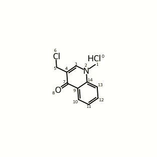 Cl.Cn1cc(CCl)c(=O)c2ccccc21